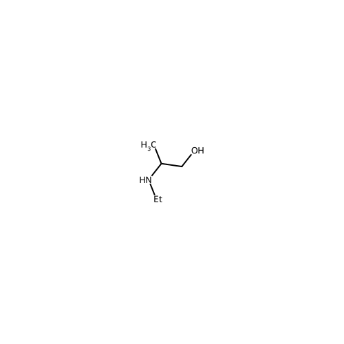 [CH2]CNC(C)CO